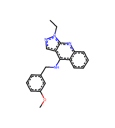 CCn1ncc2c(NCc3cccc(OC)c3)c3ccccc3nc21